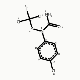 NC(=O)N(SC(F)(Cl)Cl)c1ccc(Cl)cc1